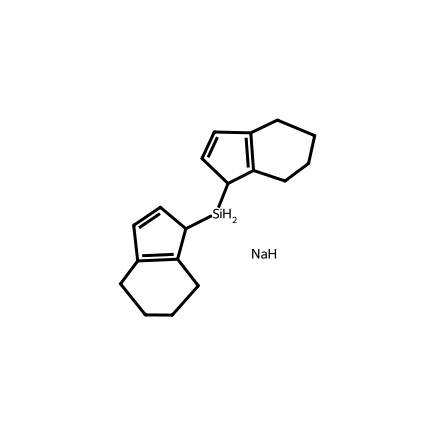 C1=CC([SiH2]C2C=CC3=C2CCCC3)C2=C1CCCC2.[NaH]